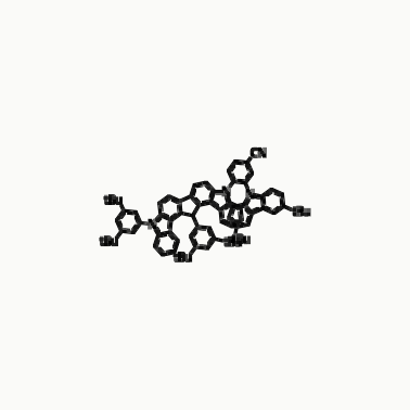 CC(C)(C)c1cc(C2c3c(ccc4c3c3ccccc3n4-c3cc(C(C)(C)C)cc(C(C)(C)C)c3)-c3ccc4c(c32)c2ccccc2n4-c2ccc(C#N)cc2-n2c3ccc(C(C)(C)C)cc3c3cc(C(C)(C)C)ccc32)cc(C(C)(C)C)c1